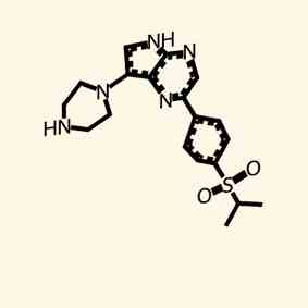 CC(C)S(=O)(=O)c1ccc(-c2cnc3[nH]cc(N4CCNCC4)c3n2)cc1